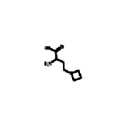 NC(CCN1CCC1)C(=O)O